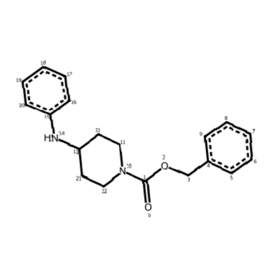 O=C(OCc1ccccc1)N1CCC(Nc2ccccc2)CC1